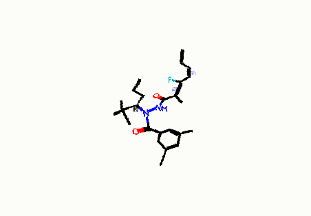 C=C/C=C\C(F)=C(/C)C(=O)NN(C(=O)C1C=C(C)C=C(C)C1)[C@H](CCC)C(C)(C)C